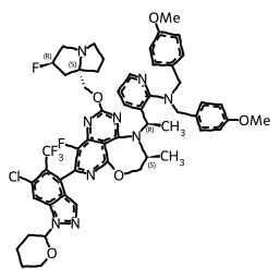 COc1ccc(CN(Cc2ccc(OC)cc2)c2ncccc2[C@@H](C)N2c3nc(OC[C@@]45CCCN4C[C@H](F)C5)nc4c(F)c(-c5c(C(F)(F)F)c(Cl)cc6c5cnn6C5CCCCO5)nc(c34)OC[C@@H]2C)cc1